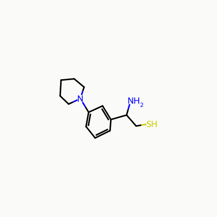 NC(CS)c1cccc(N2CCCCC2)c1